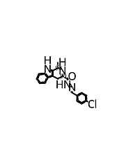 C[C@H]1N[C@@H](C(=O)NN=Cc2ccc(Cl)cc2)Cc2c1[nH]c1ccccc21